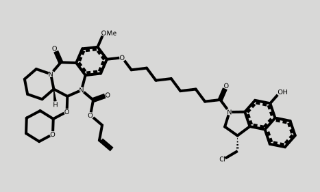 C=CCOC(=O)N1c2cc(OCCCCCCCC(=O)N3C[C@@H](CCl)c4c3cc(O)c3ccccc43)c(OC)cc2C(=O)N2CCCC[C@H]2C1OC1CCCCO1